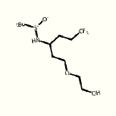 CC(C)(C)[S+]([O-])NC(CCOCCO)CCC(F)(F)F